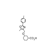 Cc1ccc(-c2nc(COC3CCCC(C(=O)O)C3)c(C)o2)cc1